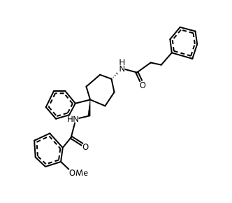 COc1ccccc1C(=O)NC[C@]1(c2ccccc2)CC[C@@H](NC(=O)CCc2ccccc2)CC1